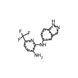 Nc1ccc(C(F)(F)F)nc1Nc1ccc2[nH]ncc2c1